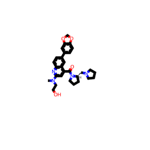 CN(CCO)c1cc(C(=O)N2CCC[C@H]2CN2CCCC2)c2cc(-c3ccc4c(c3)OCO4)ccc2n1